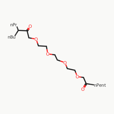 CCCCCC(=O)COCCOCCOCCOCC(=O)C(CCC)CCCC